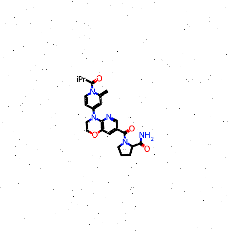 C=C1C=C(N2CCOc3cc(C(=O)N4CCCC4C(N)=O)cnc32)C=CN1C(=O)C(C)C